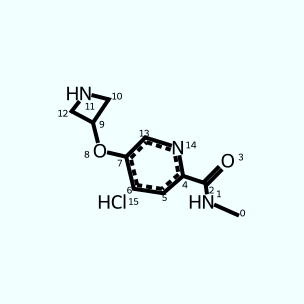 CNC(=O)c1ccc(OC2CNC2)cn1.Cl